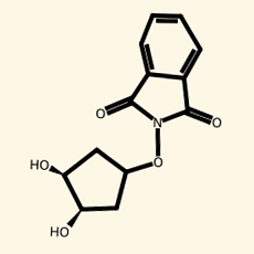 O=C1c2ccccc2C(=O)N1OC1C[C@@H](O)[C@@H](O)C1